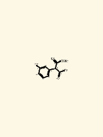 CCC(=O)C(C(=O)OC)c1cccc(F)c1